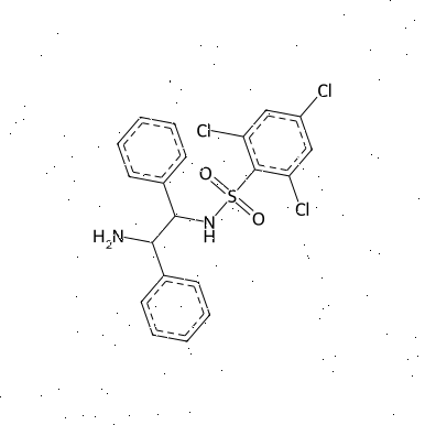 NC(c1ccccc1)C(NS(=O)(=O)c1c(Cl)cc(Cl)cc1Cl)c1ccccc1